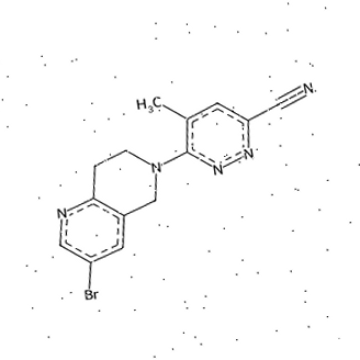 Cc1cc(C#N)nnc1N1CCc2ncc(Br)cc2C1